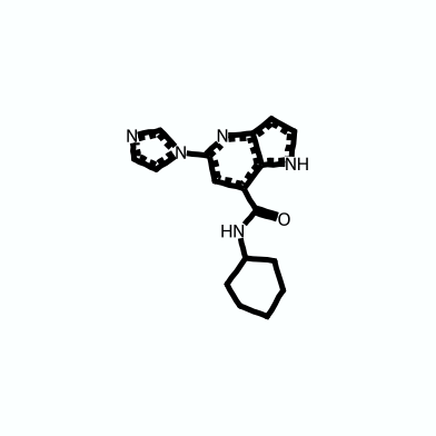 O=C(NC1CCCCC1)c1cc(-n2ccnc2)nc2cc[nH]c12